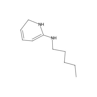 CCCCCNC1=CC=CCN1